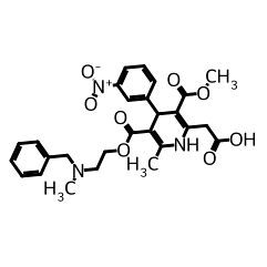 COC(=O)C1=C(CC(=O)O)NC(C)=C(C(=O)OCCN(C)Cc2ccccc2)C1c1cccc([N+](=O)[O-])c1